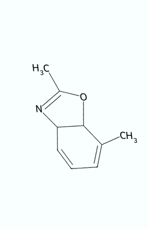 CC1=CC=CC2N=C(C)OC12